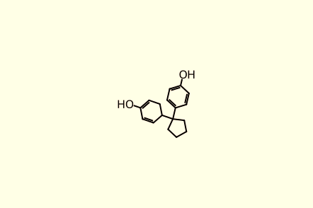 OC1=CCC(C2(c3ccc(O)cc3)CCCC2)C=C1